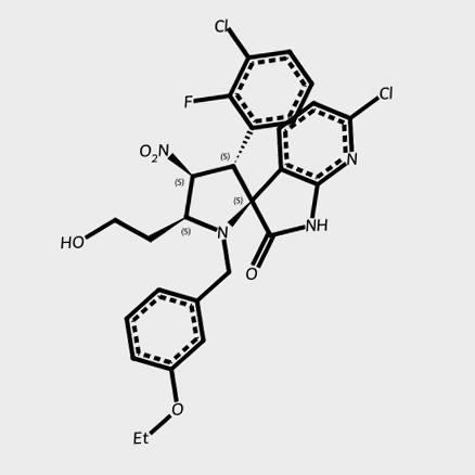 CCOc1cccc(CN2[C@@H](CCO)[C@@H]([N+](=O)[O-])[C@H](c3cccc(Cl)c3F)[C@]23C(=O)Nc2nc(Cl)ccc23)c1